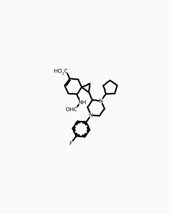 O=CNC1CC=C(C(=O)O)CC12CC2C1CN(c2ccc(F)cc2)CCN1C1CCCC1